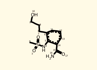 CS(=O)(=O)Nc1c(CCCO)cccc1C(N)=O